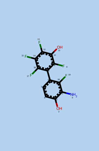 Nc1c(O)ccc(-c2c(F)c(O)c(F)c(F)c2F)c1F